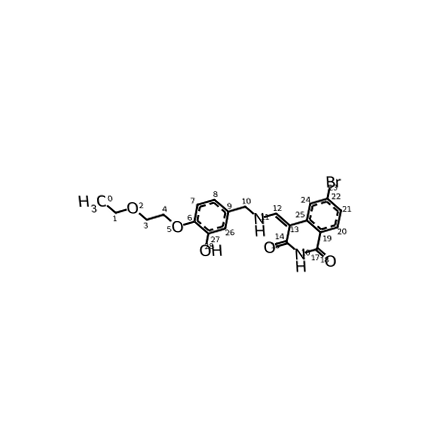 CCOCCOc1ccc(CNC=C2C(=O)NC(=O)c3ccc(Br)cc32)cc1O